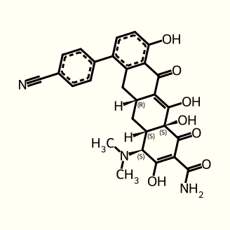 CN(C)[C@@H]1C(O)=C(C(N)=O)C(=O)[C@@]2(O)C(O)=C3C(=O)c4c(O)ccc(-c5ccc(C#N)cc5)c4C[C@H]3C[C@@H]12